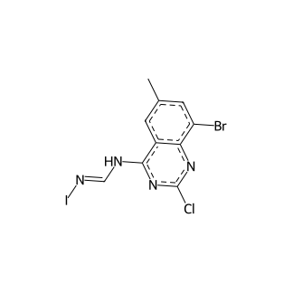 Cc1cc(Br)c2nc(Cl)nc(N/C=N/I)c2c1